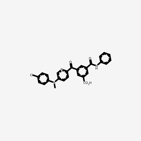 CN(c1ccc(Cl)cc1)c1ccc(C(=O)c2cc(C(=O)O)cc(C(=O)Nc3ccccc3)c2)nc1